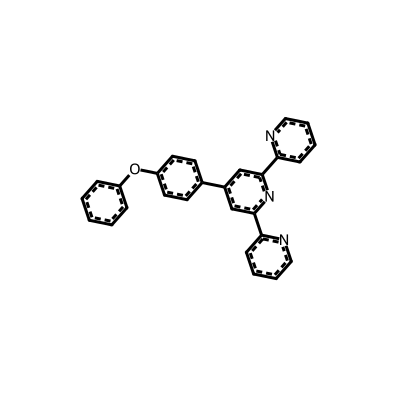 c1ccc(Oc2ccc(-c3cc(-c4ccccn4)nc(-c4ccccn4)c3)cc2)cc1